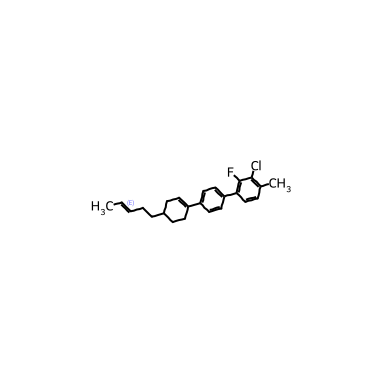 C/C=C/CCC1CC=C(c2ccc(-c3ccc(C)c(Cl)c3F)cc2)CC1